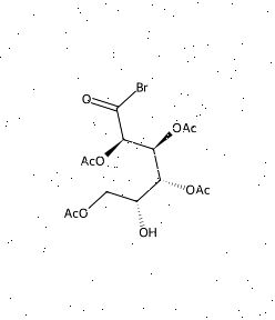 CC(=O)OC[C@@H](O)[C@@H](OC(C)=O)[C@H](OC(C)=O)[C@@H](OC(C)=O)C(=O)Br